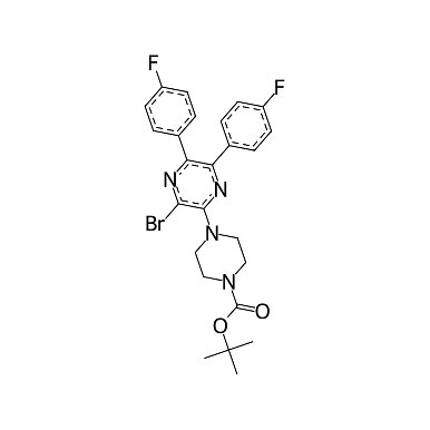 CC(C)(C)OC(=O)N1CCN(c2nc(-c3ccc(F)cc3)c(-c3ccc(F)cc3)nc2Br)CC1